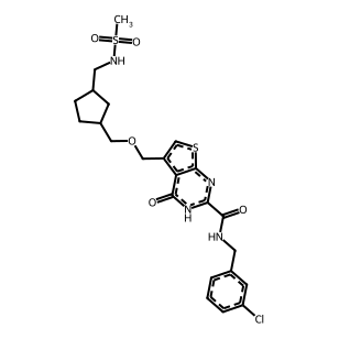 CS(=O)(=O)NCC1CCC(COCc2csc3nc(C(=O)NCc4cccc(Cl)c4)[nH]c(=O)c23)C1